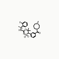 C[C@H](NC1=NS(=O)(=O)C(c2cccc(C(=O)N3CCCN(C)CC3)c2)C(C)(C)O1)c1ccccc1F